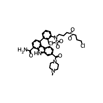 Cc1c(-c2ccc(C(N)=O)c3[nH]c4cc(C(=O)N5CCN(C)CC5)ccc4c23)cccc1N(CCCS(=O)(=O)CCCCl)S(=O)(=O)Cl